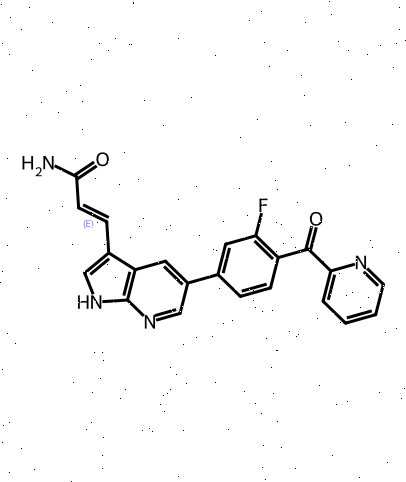 NC(=O)/C=C/c1c[nH]c2ncc(-c3ccc(C(=O)c4ccccn4)c(F)c3)cc12